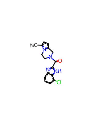 N#Cc1ccc2n1CCN(C(=O)c1nc3cccc(Cl)c3[nH]1)C2